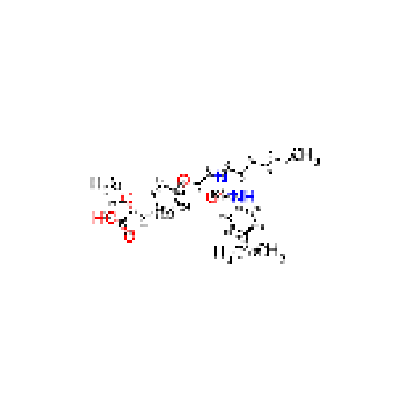 CCCCCCCN(CCOc1ccc(CC(OCC)C(=O)O)cc1)C(=O)Nc1ccc(C(C)C)cc1